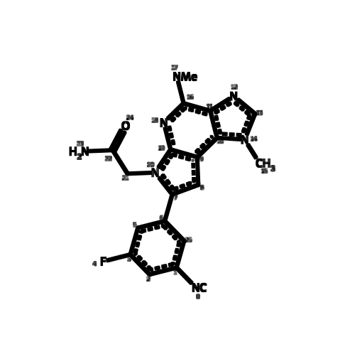 [C-]#[N+]c1cc(F)cc(-c2cc3c4c(ncn4C)c(NC)nc3n2CC(N)=O)c1